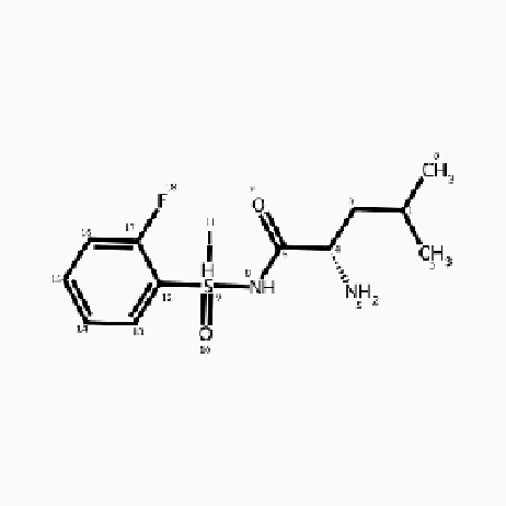 CC(C)C[C@H](N)C(=O)N[SH](=O)(I)c1ccccc1F